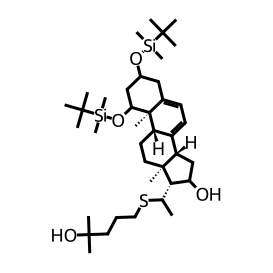 CC(SCCCC(C)(C)O)[C@H]1C(O)C[C@H]2C3=CC=C4CC(O[Si](C)(C)C(C)(C)C)CC(O[Si](C)(C)C(C)(C)C)[C@]4(C)[C@H]3CC[C@]12C